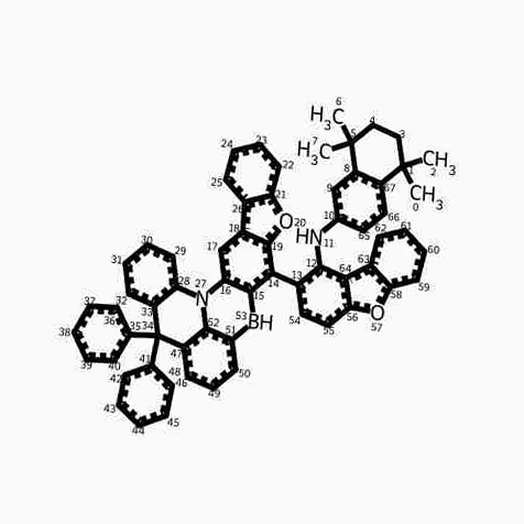 CC1(C)CCC(C)(C)c2cc(Nc3c(-c4c5c(cc6c4oc4ccccc46)N4c6ccccc6C(c6ccccc6)(c6ccccc6)c6cccc(c64)B5)ccc4oc5ccccc5c34)ccc21